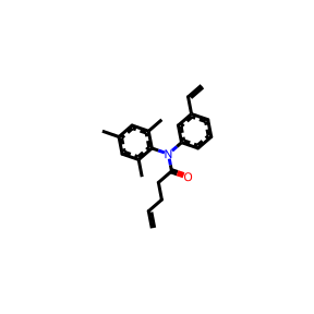 C=CCCC(=O)N(c1cccc(C=C)c1)c1c(C)cc(C)cc1C